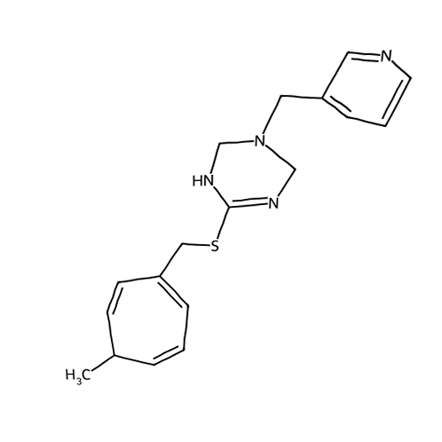 CC1C=CC=C(CSC2=NCN(Cc3cccnc3)CN2)C=C1